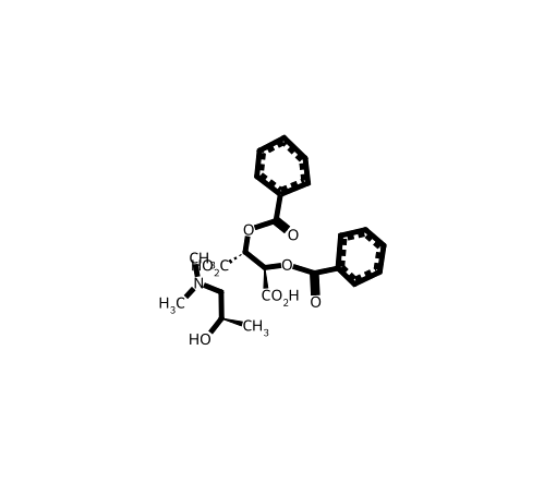 C[C@@H](O)CN(C)C.O=C(O[C@@H](C(=O)O)[C@@H](OC(=O)c1ccccc1)C(=O)O)c1ccccc1